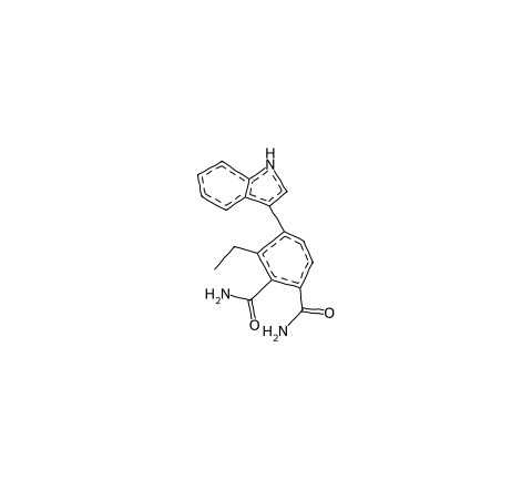 CCc1c(-c2c[nH]c3ccccc23)ccc(C(N)=O)c1C(N)=O